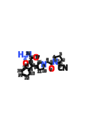 N#C[C@@H]1CCCN1C(=O)CN1CC[C@@H](c2c(C(N)=O)oc3ccccc23)C1